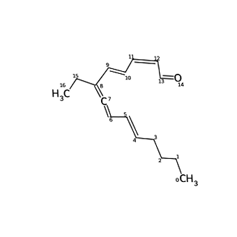 CCCCC=CC=C=C(C=C/C=C\C=O)CC